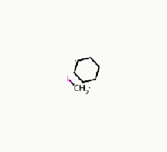 [CH2]I.[CH]1CCCCC1